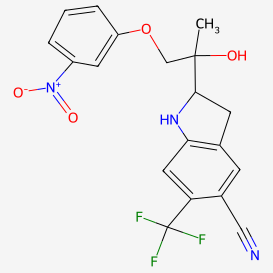 CC(O)(COc1cccc([N+](=O)[O-])c1)C1Cc2cc(C#N)c(C(F)(F)F)cc2N1